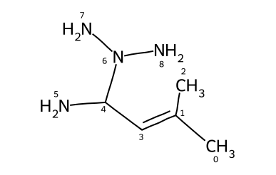 CC(C)=CC(N)N(N)N